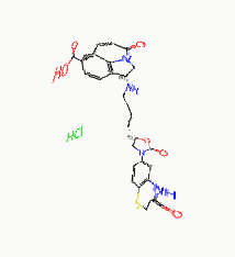 Cl.O=C1CSc2ccc(N3C[C@H](CCCN[C@H]4Cn5c(=O)ccc6c(C(=O)O)ccc4c65)OC3=O)cc2N1